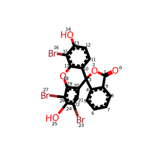 O=C1OC2(c3ccccc31)c1ccc(O)c(Br)c1Oc1c2cc(Br)c(O)c1Br